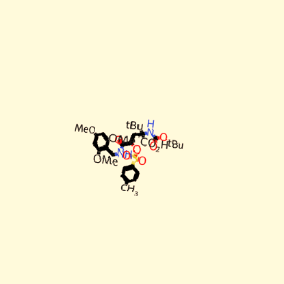 COc1cc(OC)c(CNC(=O)C(C[C@](NC(=O)OC(C)(C)C)(C(=O)O)C(C)(C)C)OS(=O)(=O)c2ccc(C)cc2)c(OC)c1